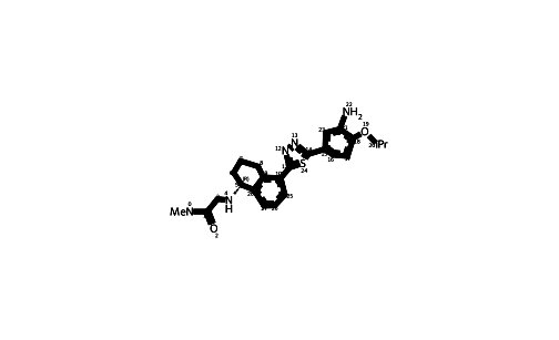 CNC(=O)CN[C@@H]1CCCc2c(-c3nnc(-c4ccc(OC(C)C)c(N)c4)s3)cccc21